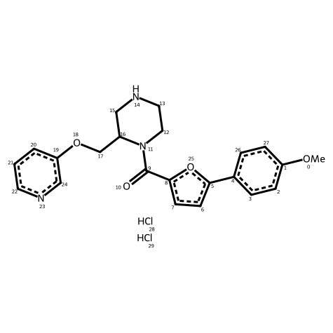 COc1ccc(-c2ccc(C(=O)N3CCNCC3COc3cccnc3)o2)cc1.Cl.Cl